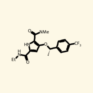 CCNC(=O)c1cc(O[C@@H](C)c2ccc(C(F)(F)F)cc2)c(C(=O)NC)[nH]1